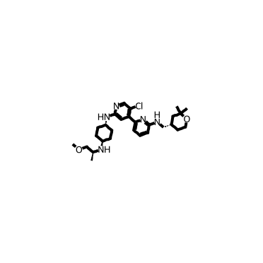 COC[C@H](C)N[C@H]1CC[C@H](Nc2cc(-c3cccc(NC[C@H]4CCOC(C)(C)C4)n3)c(Cl)cn2)CC1